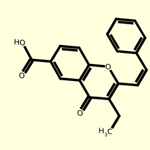 CCc1c(/C=C\c2ccccc2)oc2ccc(C(=O)O)cc2c1=O